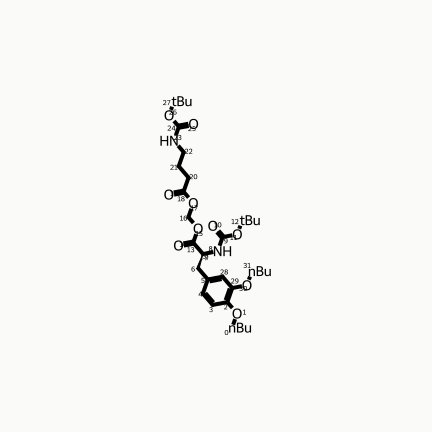 CCCCOc1ccc(C[C@H](NC(=O)OC(C)(C)C)C(=O)OCOC(=O)CCCNC(=O)OC(C)(C)C)cc1OCCCC